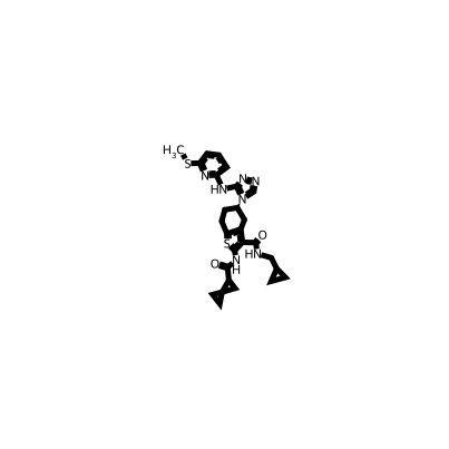 CSc1cccc(Nc2nncn2[C@H]2CCc3sc(NC(=O)C4CC45CC5)c(C(=O)NCC4CC4)c3C2)n1